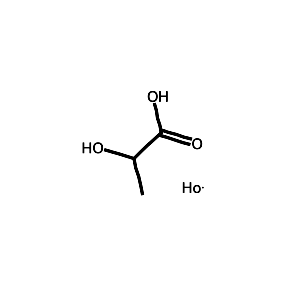 CC(O)C(=O)O.[Ho]